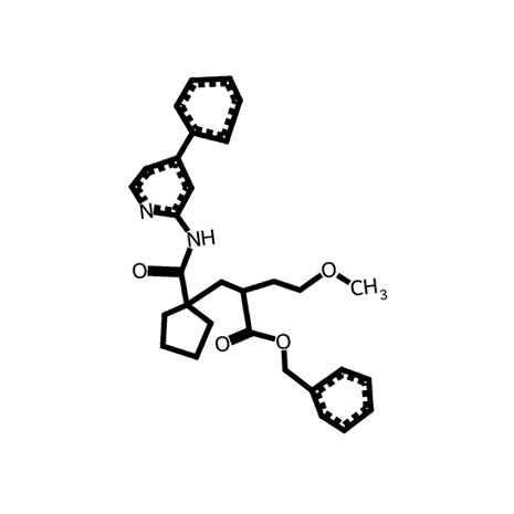 COCCC(CC1(C(=O)Nc2cc(-c3ccccc3)ccn2)CCCC1)C(=O)OCc1ccccc1